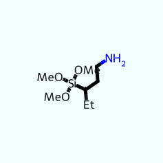 CC[C](CCN)[Si](OC)(OC)OC